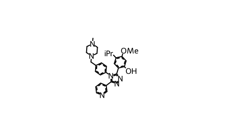 COc1cc(O)c(-c2nnc(-c3cccnc3)n2-c2ccc(CN3CCN(C)CC3)cc2)cc1C(C)C